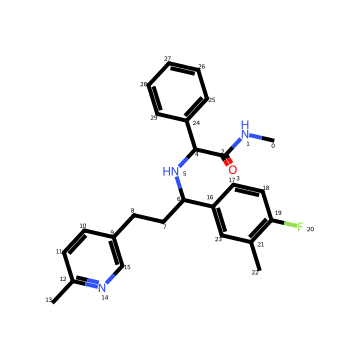 CNC(=O)C(NC(CCc1ccc(C)nc1)c1ccc(F)c(C)c1)c1ccccc1